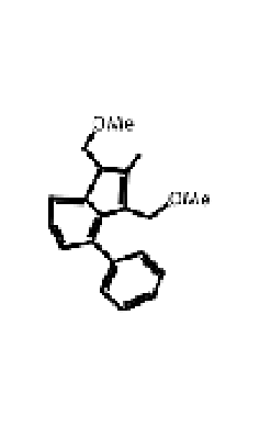 COCC1=C(C)C(COC)c2cccc(-c3ccccc3)c21